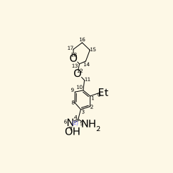 CCc1cc(/C(N)=N/O)ccc1COC1CCCCO1